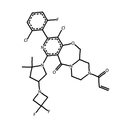 C=CC(=O)N1CCN2C(=O)c3c(N4CC(N5CC(F)(F)C5)CC4(C)C)nc(-c4c(F)cccc4Cl)c(Cl)c3OCC2C1